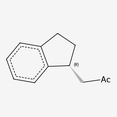 CC(=O)C[C@H]1CCc2ccccc21